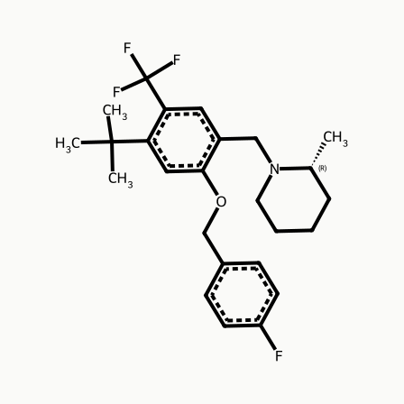 C[C@@H]1CCCCN1Cc1cc(C(F)(F)F)c(C(C)(C)C)cc1OCc1ccc(F)cc1